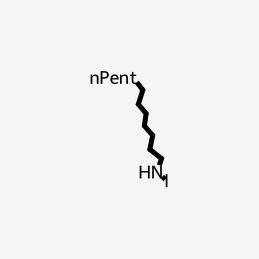 CCCCCCCCCCCCNI